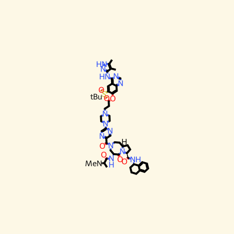 CNC(C)C(=O)N[C@H]1CN(C(=O)c2cnc(N3CCN(CCCOc4cc5ncnc(Nc6n[nH]c(C)c6C)c5cc4S(=O)(=O)C(C)(C)C)CC3)cn2)CC[C@H]2CC[C@@H](C(=O)N[C@@H]3CCCc4ccccc43)N2C1=O